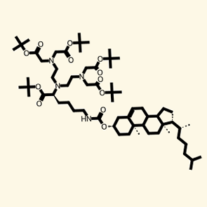 CC(C)CCC[C@@H](C)[C@H]1CCC2C3CC=C4C[C@@H](OC(=O)NCCCC[C@@H](C(=O)OC(C)(C)C)N(CCN(CC(=O)OC(C)(C)C)CC(=O)OC(C)(C)C)CCN(CC(=O)OC(C)(C)C)CC(=O)OC(C)(C)C)CC[C@]4(C)C3CC[C@@]21C